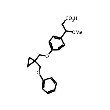 COC(CC(=O)O)c1ccc(OCC2(COc3ccccc3)CC2)cc1